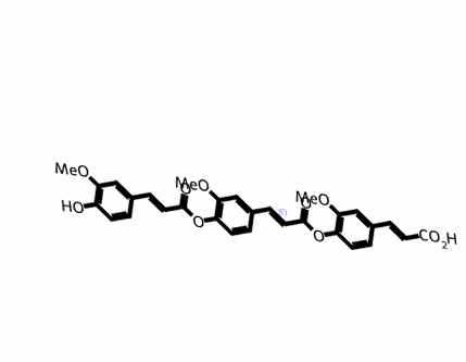 COc1cc(C=CC(=O)Oc2ccc(/C=C/C(=O)Oc3ccc(C=CC(=O)O)cc3OC)cc2OC)ccc1O